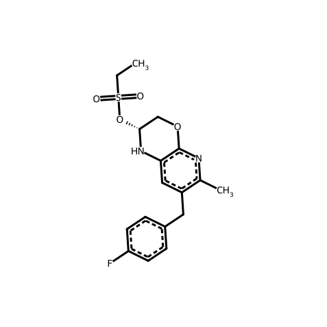 CCS(=O)(=O)O[C@@H]1COc2nc(C)c(Cc3ccc(F)cc3)cc2N1